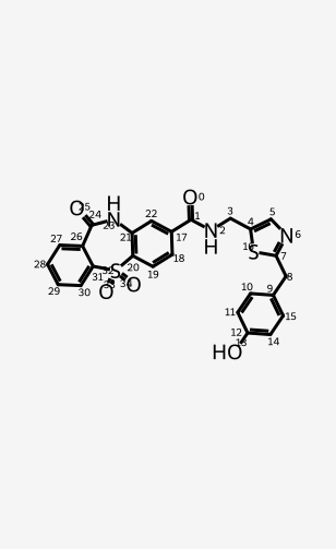 O=C(NCc1cnc(Cc2ccc(O)cc2)s1)c1ccc2c(c1)NC(=O)c1ccccc1S2(=O)=O